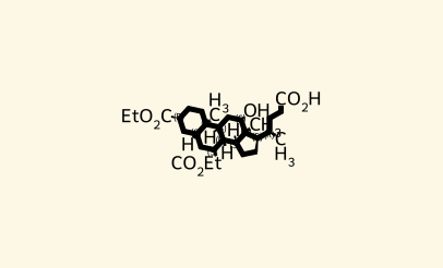 CCOC(=O)[C@@H]1CC[C@@]2(C)[C@@H](C1)C[C@H](C(=O)OCC)[C@@H]1[C@@H]2C[C@H](O)[C@]2(C)[C@@H]([C@H](C)CCC(=O)O)CC[C@@H]12